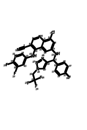 N#Cc1cnc2c(Cl)cc(N[C@@H](c3ccc(F)cc3)c3cn(CC(F)(F)F)nn3)cc2c1Nc1cnc(F)c(F)c1